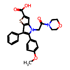 COc1ccc(-c2c(-c3ccccc3)c3sc(C(=O)O)cc3n2CC(=O)N2CCOCC2)cc1